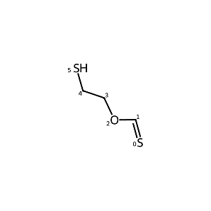 S=COCCS